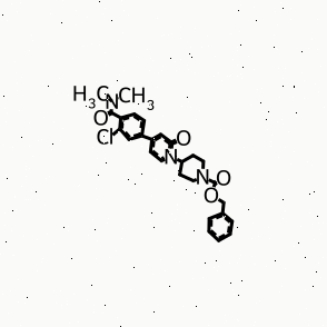 CN(C)C(=O)c1ccc(-c2ccn(C3CCN(C(=O)OCc4ccccc4)CC3)c(=O)c2)cc1Cl